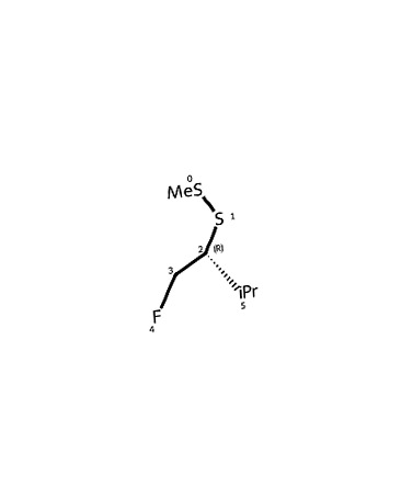 CSS[C@@H](CF)C(C)C